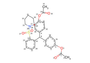 CC(=O)Oc1ccc(C(c2ccc(OC(C)=O)cc2)c2ccccc2S(=O)(=O)N2CCCCC2)cc1